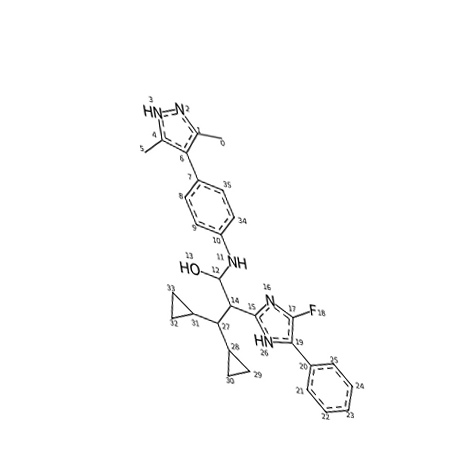 Cc1n[nH]c(C)c1-c1ccc(NC(O)C(c2nc(F)c(-c3ccccc3)[nH]2)C(C2CC2)C2CC2)cc1